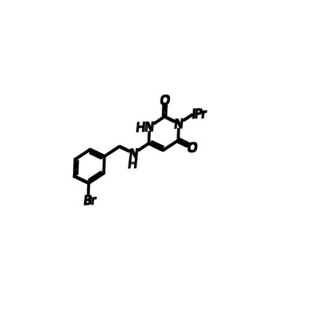 CC(C)n1c(=O)cc(NCc2cccc(Br)c2)[nH]c1=O